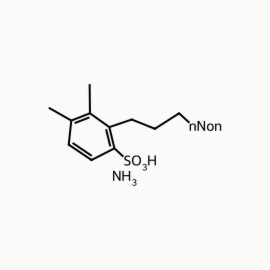 CCCCCCCCCCCCc1c(S(=O)(=O)O)ccc(C)c1C.N